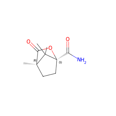 CC1(C)[C@@]2(C)CC[C@]1(C(N)=O)OC2=O